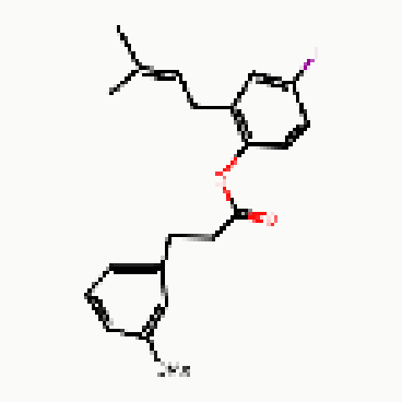 COc1cccc(CCC(=O)Oc2ccc(I)cc2CC=C(C)C)c1